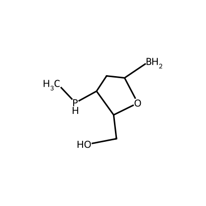 BC1CC(PC)C(CO)O1